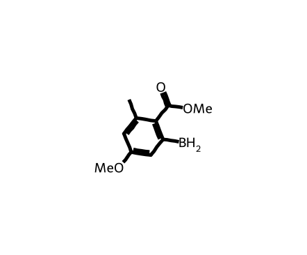 Bc1cc(OC)cc(C)c1C(=O)OC